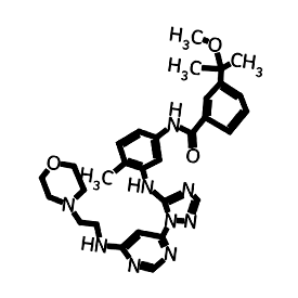 COC(C)(C)c1cccc(C(=O)Nc2ccc(C)c(Nc3ncnn3-c3cc(NCCN4CCOCC4)ncn3)c2)c1